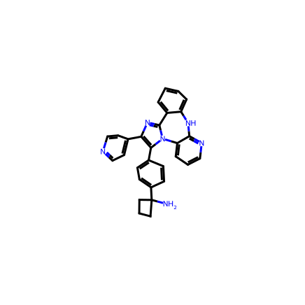 NC1(c2ccc(-c3c(-c4ccncc4)nc4n3-c3cccnc3Nc3ccccc3-4)cc2)CCC1